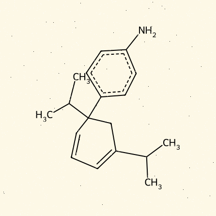 CC(C)C1=CC=CC(c2ccc(N)cc2)(C(C)C)C1